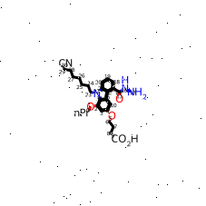 CCCOc1cc(OCCCC(=O)O)cc2c3c(C(=O)NN)cccc3n(CCCCCCCC#N)c12